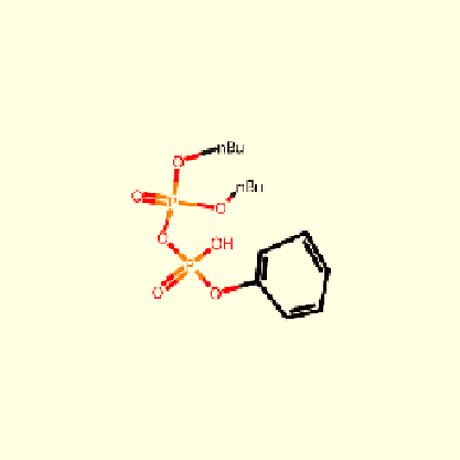 CCCCOP(=O)(OCCCC)OP(=O)(O)Oc1ccccc1